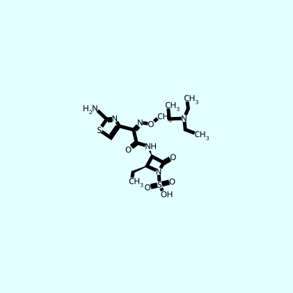 CCN(CC)CC.CC[C@H]1[C@H](NC(=O)/C(=N\OC)c2csc(N)n2)C(=O)N1S(=O)(=O)O